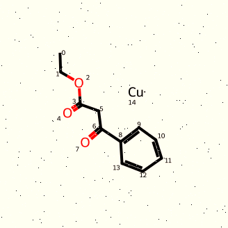 CCOC(=O)CC(=O)c1ccccc1.[Cu]